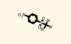 O=[N+]([O-])c1ccc(S(=O)(=O)C(Br)(Br)Br)cc1